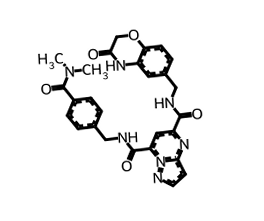 CN(C)C(=O)c1ccc(CNC(=O)c2cc(C(=O)NCc3ccc4c(c3)NC(=O)CO4)nc3ccnn23)cc1